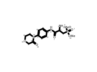 COP(=O)(CC(N)C(=O)Nc1ccc(N2CCOCC2=O)cc1)OC